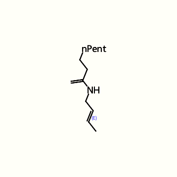 C=C(CCCCCCC)NC/C=C/C